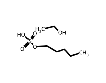 CCCCCOS(=O)(=O)O.CCO